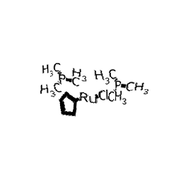 CP(C)C.CP(C)C.[Cl][Ru][C]1=CC=CC1